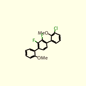 COc1ccccc1-c1ccc(-c2cccc(Cl)c2OC)c(F)c1F